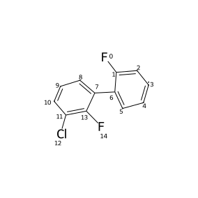 Fc1c[c]ccc1-c1cccc(Cl)c1F